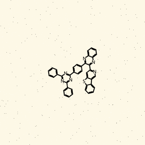 c1ccc(-c2nc(-c3ccccc3)nc(-c3ccc(-c4nc5ccccc5nc4-c4cc5sc6ccccc6c5cn4)cc3)n2)cc1